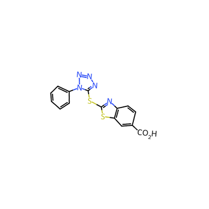 O=C(O)c1ccc2nc(Sc3nnnn3-c3ccccc3)sc2c1